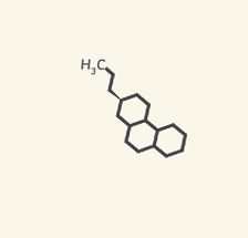 CCC[C@H]1CCC2C(CCC3CCCCC32)C1